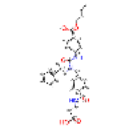 CCCCOC(=O)c1ccc(NC(=O)N(Cc2ccc(C(=O)NCCC(=O)O)cc2)CC(C)c2ccccc2)cc1